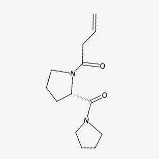 C=CCC(=O)N1CCC[C@H]1C(=O)N1CCCC1